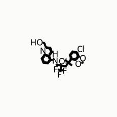 CC(C)(CC(O)(CNc1cccc2nc(CO)ccc12)C(F)(F)F)c1ccc(Cl)c2c1OCO2